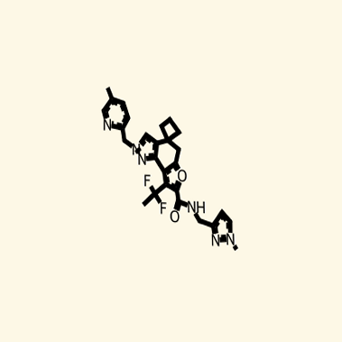 Cc1ccc(Cn2cc3c(n2)-c2c(oc(C(=O)NCc4ccn(C)n4)c2C(C)(F)F)CC32CCC2)nc1